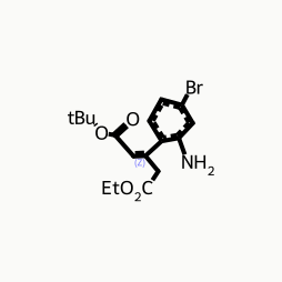 CCOC(=O)C/C(=C/C(=O)OC(C)(C)C)c1ccc(Br)cc1N